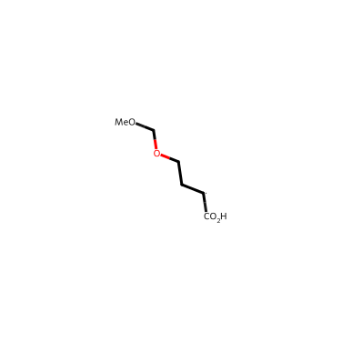 COCOCC[CH]C(=O)O